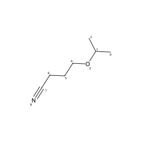 CC(C)OCCCC#N